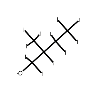 [O]C(I)(I)C(I)(C(I)(I)I)C(I)(I)C(I)(I)I